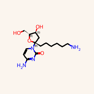 NCCCCCC[C@]1(n2ccc(N)nc2=O)C[C@H](O)[C@@H](CO)O1